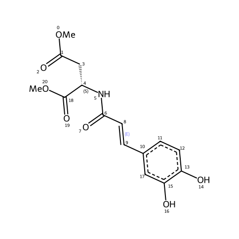 COC(=O)C[C@H](NC(=O)/C=C/c1ccc(O)c(O)c1)C(=O)OC